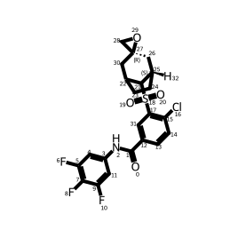 O=C(Nc1cc(F)c(F)c(F)c1)c1ccc(Cl)c(S(=O)(=O)C2C3CC[C@H]2C[C@@]2(CO2)C3)c1